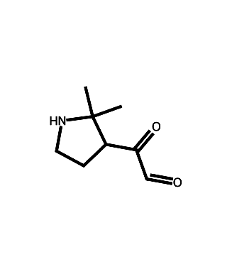 CC1(C)NCCC1C(=O)C=O